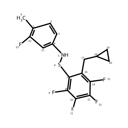 Cc1ccc(NSc2c(F)c(F)c(F)c(F)c2CC2CC2)cc1F